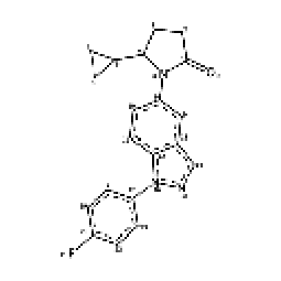 O=C1CCC(C2CC2)N1c1ccc2c(cnn2-c2ccc(F)cc2)c1